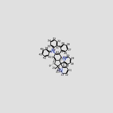 C[C@@H]1C2=CC3=C(CC2C(C2=CC=CCN2C)(c2ccccn2)C1(C)C)c1ccccc1-c1ccccc1N3c1ccccc1